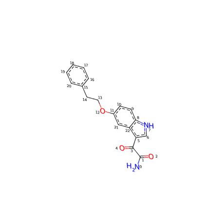 NC(=O)C(=O)c1c[nH]c2ccc(OCCc3ccccc3)cc12